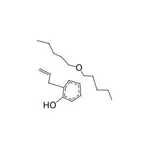 C=CCc1ccccc1O.CCCCCOCCCCC